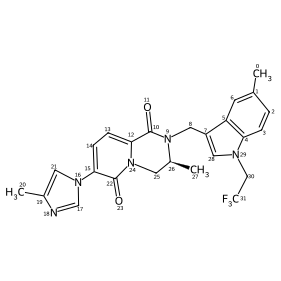 Cc1ccc2c(c1)c(CN1C(=O)c3ccc(-n4cnc(C)c4)c(=O)n3C[C@@H]1C)cn2CC(F)(F)F